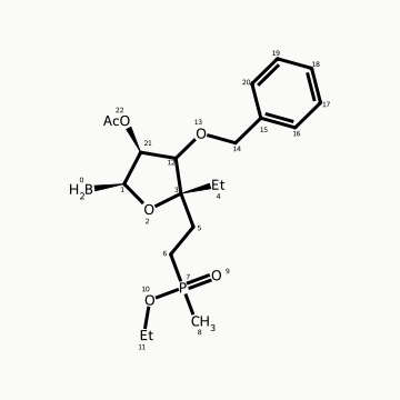 B[C@@H]1O[C@@](CC)(CCP(C)(=O)OCC)C(OCc2ccccc2)[C@@H]1OC(C)=O